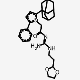 N/C(=N\C(=O)Cn1c(-c2ccccc2)ccc1C12CC3CC(CC(C3)C1)C2)NCCC1OCCO1